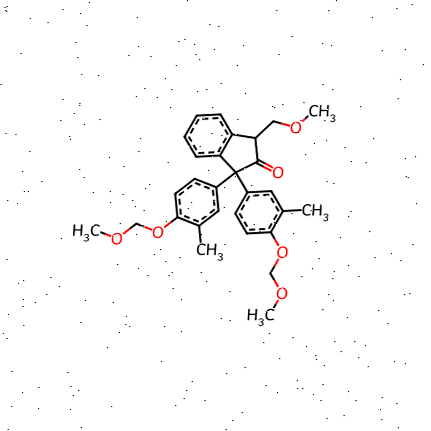 COCOc1ccc(C2(c3ccc(OCOC)c(C)c3)C(=O)C(COC)c3ccccc32)cc1C